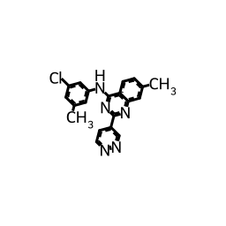 Cc1cc(Cl)cc(Nc2nc(-c3ccnnc3)nc3cc(C)ccc23)c1